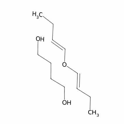 CC/C=C/O/C=C/CC.OCCCCO